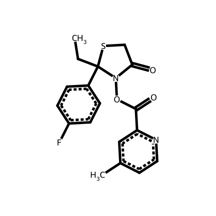 CCC1(c2ccc(F)cc2)SCC(=O)N1OC(=O)c1cc(C)ccn1